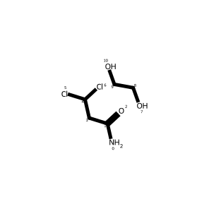 NC(=O)CC(Cl)Cl.OCCO